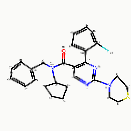 O=C(c1cnc(N2CCSCC2)nc1-c1ccccc1F)N(Cc1ccccc1)C1CCCC1